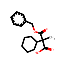 CC(C(=O)O)(C(=O)OCc1ccccc1)C1CCCCC1